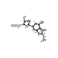 CCOC(=O)c1sc(-c2cc(Br)c3[nH]c(CC(C)C)cc3c2)nc1C